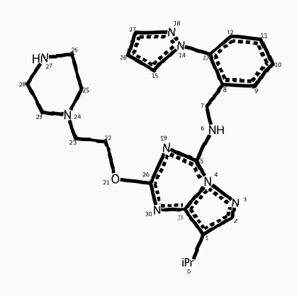 CC(C)c1cnn2c(NCc3ccccc3-n3cccn3)nc(OCCN3CCNCC3)nc12